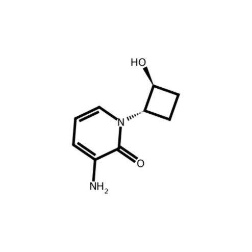 Nc1cccn([C@H]2CC[C@@H]2O)c1=O